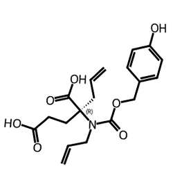 C=CCN(C(=O)OCc1ccc(O)cc1)[C@@](CC=C)(CCC(=O)O)C(=O)O